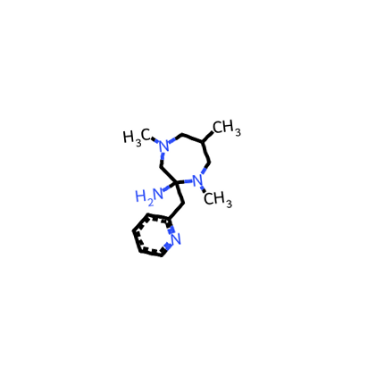 CC1CN(C)CC(N)(Cc2ccccn2)N(C)C1